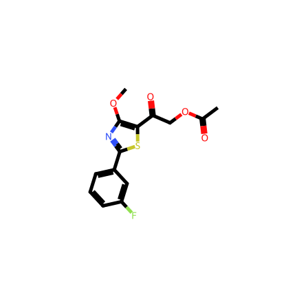 COc1nc(-c2cccc(F)c2)sc1C(=O)COC(C)=O